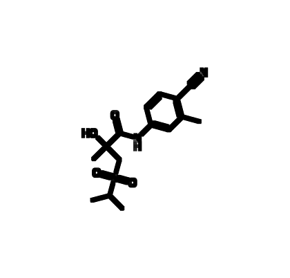 Cc1cc(NC(=O)C(C)(O)CS(=O)(=O)C(C)C)ccc1C#N